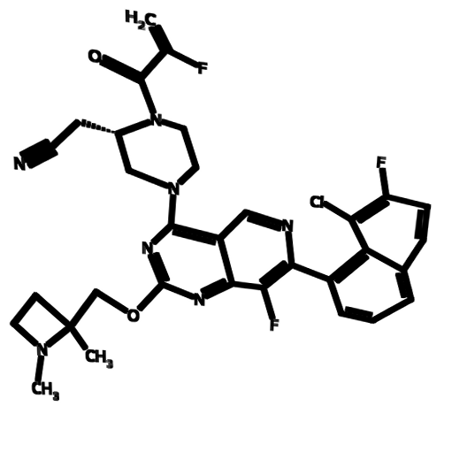 C=C(F)C(=O)N1CCN(c2nc(OCC3(C)CCN3C)nc3c(F)c(-c4cccc5ccc(F)c(Cl)c45)ncc23)C[C@@H]1CC#N